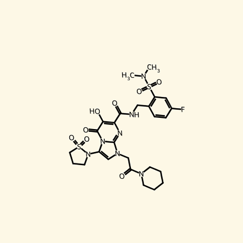 CN(C)S(=O)(=O)c1cc(F)ccc1CNC(=O)c1nc2n(CC(=O)N3CCCCC3)cc(N3CCCS3(=O)=O)n2c(=O)c1O